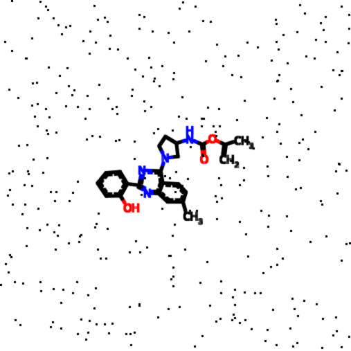 C=C(C)OC(=O)NC1CCN(c2nc(-c3ccccc3O)nc3cc(C)ccc23)C1